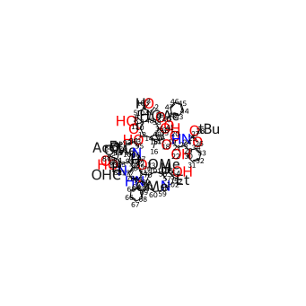 CC(=O)O[C@@]12CO[C@@H]1C[C@H](O)[C@@]1(C)C(=O)[C@H](O)C3=C(C)[C@@H](OC(=O)C(O)[C@@H](NC(=O)OC(C)(C)C)c4ccccc4)C[C@@](O)([C@@H](OC(=O)c4ccccc4)[C@H]21)C3(C)C.CC[C@]1(O)C[C@H]2C[N@](CCc3c([nH]c4ccccc34)[C@@](C(=O)OC)(c3cc4c(cc3OC)N(C=O)[C@H]3[C@@](O)(C(=O)OC)[C@H](OC(C)=O)[C@]5(CC)C=CCN6CC[C@]43[C@@H]65)C2)C1